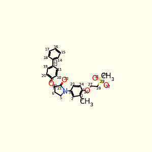 Cc1cc(N2CC[C@@H](Oc3ccc(-c4ccccc4)cc3)C2=O)ccc1OCCS(C)(=O)=O